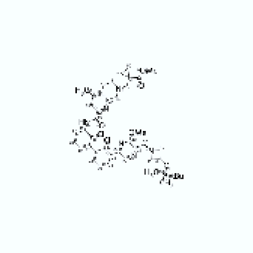 COC(=O)C1(CN2CCc3c(C)cc(C(=O)Nc4cccc(-c5cccc(-c6cnc(CN7CC(O[Si](C)(C)C(C)(C)C)C7)c(OC)n6)c5Cl)c4Cl)nc3C2)CC1